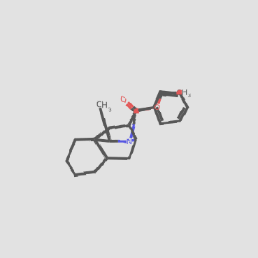 CCOC(=O)C1CC23CCCCC2CC1N(Cc1ccccc1)C3C